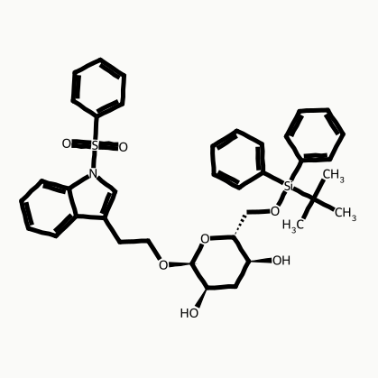 CC(C)(C)[Si](OC[C@H]1O[C@H](OCCc2cn(S(=O)(=O)c3ccccc3)c3ccccc23)[C@H](O)C[C@@H]1O)(c1ccccc1)c1ccccc1